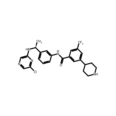 C[C@H](Nc1cncc(Cl)n1)c1cccc(NC(=O)c2cc(C3CCNCC3)cc(C(F)(F)F)c2)c1